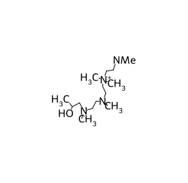 CNCC[N+](C)(C)CCN(C)CCN(C)CC(C)O